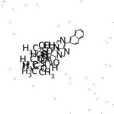 CC(C)(C)[Si](C)(C)O[C@H]1[C@H]2O[Si](C(C)(C)C)(C(C)(C)C)OC[C@H]2O[C@H]1n1cnc2c(-c3ccc4ccccc4c3)ncnc21